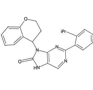 CC(C)c1ccccc1-c1ncc2[nH]c(=O)n(C3CCOc4ccccc43)c2n1